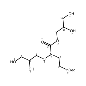 CCCCCCCCCCCCN(OCC(O)CO)C(=O)OCC(O)CO